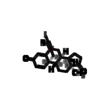 C[C@]12CC[C@H]3[C@@H](C[C@@H](Br)C4=CC(=O)C=C[C@@]43CC#CI)[C@@H]1CCC2=O